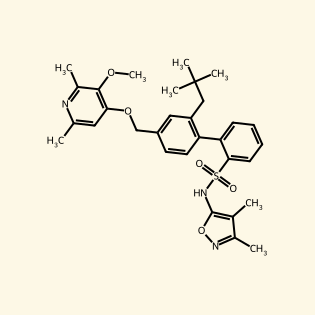 COc1c(OCc2ccc(-c3ccccc3S(=O)(=O)Nc3onc(C)c3C)c(CC(C)(C)C)c2)cc(C)nc1C